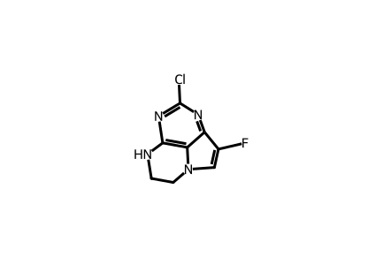 Fc1cn2c3c(nc(Cl)nc13)NCC2